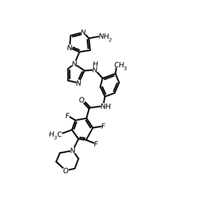 Cc1ccc(NC(=O)c2c(F)c(C)c(N3CCOCC3)c(F)c2F)cc1Nc1nccn1-c1cc(N)ncn1